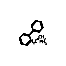 C=C.P.c1ccc(-c2ccccc2)cc1